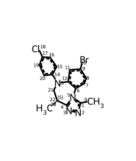 Cc1nnc2n1-c1ccc(Br)cc1N(c1ccc(Cl)cc1)C[C@@H]2C